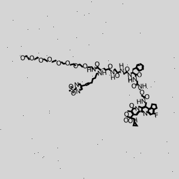 COCCOCCOCCOCCOCCOCCOCCOCCNC(=O)[C@H](CCC(=O)NCC(=O)NCC(=O)N[C@@H](Cc1ccccc1)C(=O)NCC(=O)NCOCC(=O)NCc1c2c(nc3cc(F)c4c(c13)CCC4)-c1cc3c(c(=O)n1C2)COC(=O)[C@]3(O)CC1CC1)NCCCCC#Cc1cnc(S(C)(=O)=O)nc1